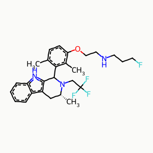 Cc1ccc(OCCNCCCF)c(C)c1C1c2[nH]c3ccccc3c2C[C@@H](C)N1CC(F)(F)F